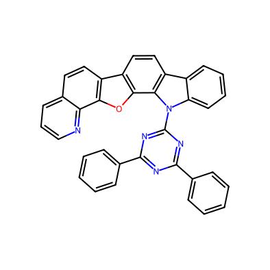 c1ccc(-c2nc(-c3ccccc3)nc(-n3c4ccccc4c4ccc5c6ccc7cccnc7c6oc5c43)n2)cc1